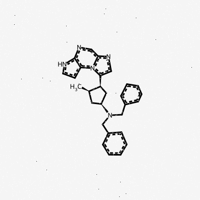 C[C@@H]1C[C@H](N(Cc2ccccc2)Cc2ccccc2)C[C@@H]1c1cnc2cnc3[nH]ccc3n12